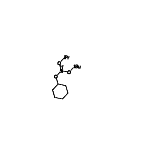 CC(C)O[SiH](OC1CCCCC1)OC(C)(C)C